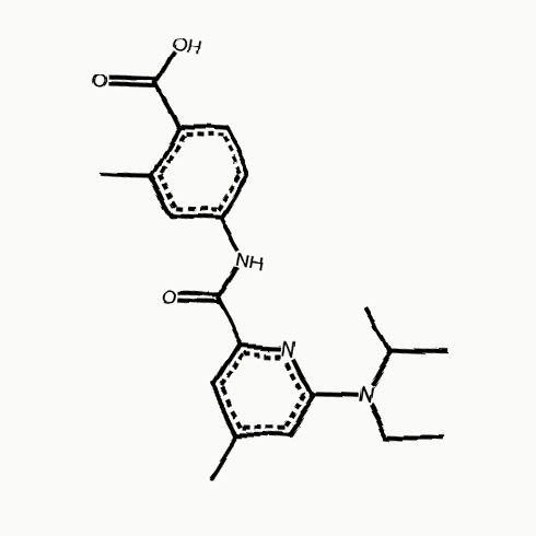 CCN(c1cc(C)cc(C(=O)Nc2ccc(C(=O)O)c(C)c2)n1)C(C)C